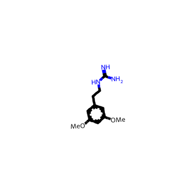 COc1cc(CCNC(=N)N)cc(OC)c1